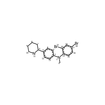 CN(c1ccc(C2CCCC[N]2)cc1)c1ccc(Br)cc1Br